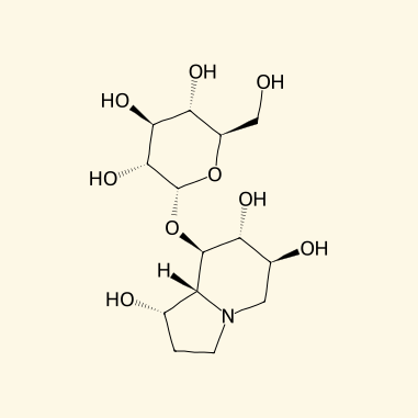 OC[C@H]1O[C@H](O[C@H]2[C@H](O)[C@@H](O)CN3CC[C@H](O)[C@H]23)[C@H](O)[C@@H](O)[C@@H]1O